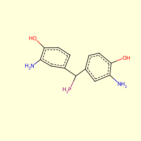 Nc1cc(C(P)c2ccc(O)c(N)c2)ccc1O